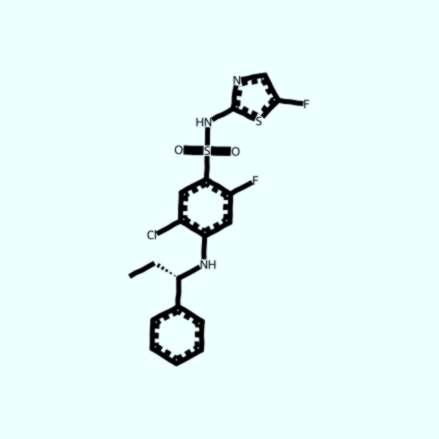 CC[C@H](Nc1cc(F)c(S(=O)(=O)Nc2ncc(F)s2)cc1Cl)c1ccccc1